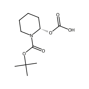 CC(C)(C)OC(=O)N1CCCC[C@@H]1OC(=O)O